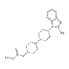 COC(=O)CN1CCC(C2CCN(n3c(C)nc4ccccc43)CC2)CC1